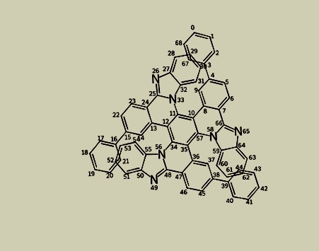 c1ccc(-c2ccc3c(c2)c2c4c(c5cc(-c6ccccc6)ccc5c5nc6ccccc6n54)c4c(c5cc(-c6ccccc6)ccc5c5nc6ccccc6n54)c2n2c4ccccc4nc32)cc1